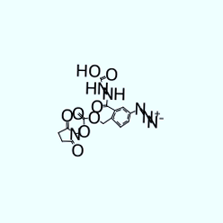 [N-]=[N+]=Nc1ccc(COC(=O)ON2C(=O)CCC2=O)c(C(=O)NNC(=O)O)c1